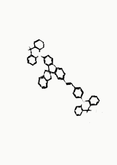 CC1(C)C2=C(CCC=C2)N(c2ccc3c(c2)C2(Cc4ccccc4C2)c2cc(/C=C/c4ccc(N5c6ccccc6C(C)(C)c6ccccc65)cc4)ccc2-3)c2ccccc21